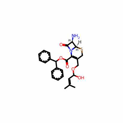 CC(C)=CC(O)OCC1=C(C(=O)OC(c2ccccc2)c2ccccc2)N2C(=O)[C@@H](N)[C@H]2SC1